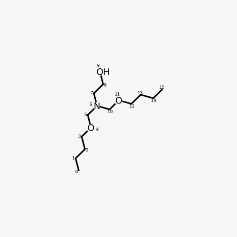 CCCCOCN(CCO)COCCCC